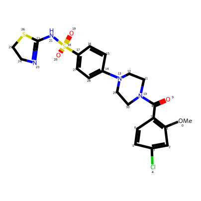 COc1cc(Cl)ccc1C(=O)N1CCN(c2ccc(S(=O)(=O)NC3=NCCS3)cc2)CC1